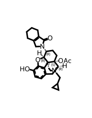 CC(=O)O[C@@]12CC[C@@H](N3CC4=C(CCCC4)C3=O)[C@@H]3Oc4c(O)ccc5c4[C@@]31CCN(CC1CC1)[C@@H]2C5